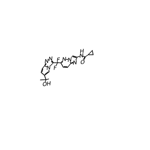 CC(C)(O)c1ccc2nnc(C(F)(F)c3ccc4nc(NC(=O)C5CC5)cn4n3)n2c1